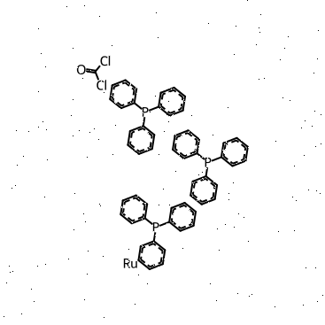 O=C(Cl)Cl.[Ru].c1ccc(P(c2ccccc2)c2ccccc2)cc1.c1ccc(P(c2ccccc2)c2ccccc2)cc1.c1ccc(P(c2ccccc2)c2ccccc2)cc1